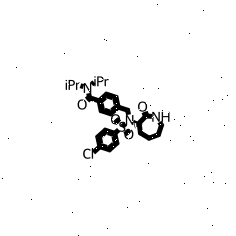 CC(C)N(C(=O)c1ccc(CN([C@@H]2CCCCNC2=O)S(=O)(=O)c2ccc(Cl)cc2)cc1)C(C)C